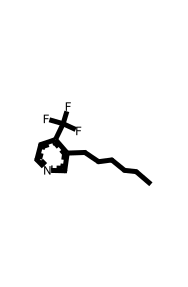 CCCCCCc1cnccc1C(F)(F)F